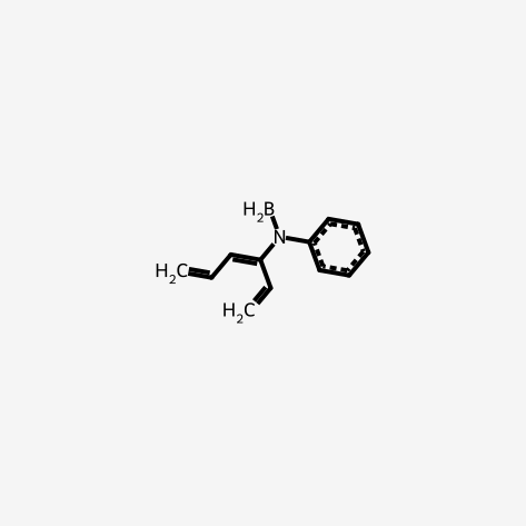 BN(/C(C=C)=C/C=C)c1ccccc1